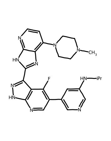 CC(C)Nc1cncc(-c2cnc3[nH]nc(-c4nc5c(N6CCN(C)CC6)ccnc5[nH]4)c3c2F)c1